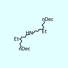 CCCCCCCCCCCCCC(CC)CCCCNCCCCC(CC)CCCCCCCCCCCCC